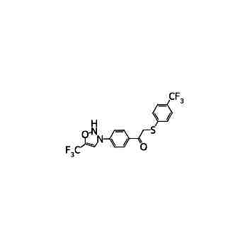 O=C(CSc1ccc(C(F)(F)F)cc1)c1ccc(N2C=C(C(F)(F)F)ON2)cc1